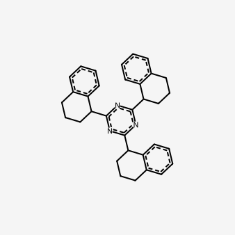 c1ccc2c(c1)CCCC2c1nc(C2CCCc3ccccc32)nc(C2CCCc3ccccc32)n1